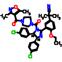 CCOc1ccc(C(C)(C)C#N)cc1C1=N[C@@H](c2ccc(Cl)cc2)[C@@H](c2ccc(Cl)cc2)N1C(=O)N1CCN(C(=O)c2c(C)noc2C)CC1